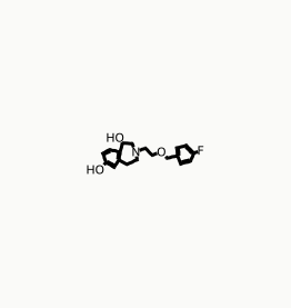 Oc1ccc2c(c1)CCN(CCOCc1ccc(F)cc1)CC2O